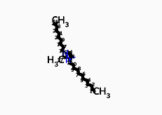 CCCCCCCCCCCC[n+]1ccn(CCCCCCCCCC)c1C